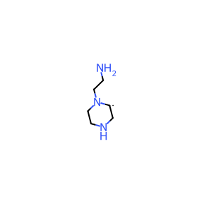 NCCN1[CH]CNCC1